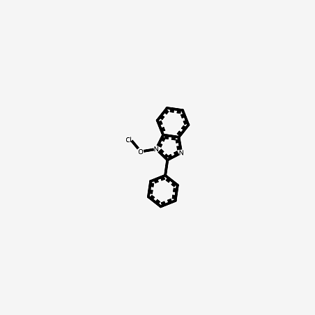 ClOn1c(-c2ccccc2)nc2ccccc21